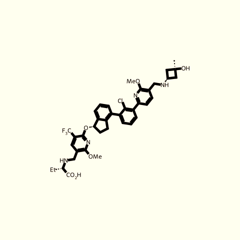 CC[C@H](NCc1cc(C(F)(F)F)c(O[C@H]2CCc3c(-c4cccc(-c5ccc(CN[C@H]6C[C@](C)(O)C6)c(OC)n5)c4Cl)cccc32)nc1OC)C(=O)O